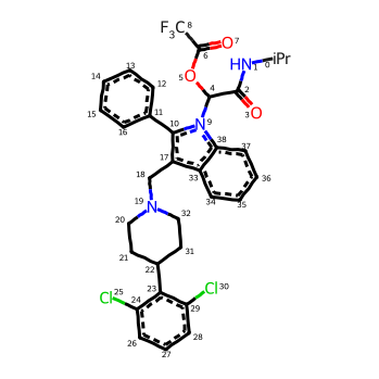 CC(C)NC(=O)C(OC(=O)C(F)(F)F)n1c(-c2ccccc2)c(CN2CCC(c3c(Cl)cccc3Cl)CC2)c2ccccc21